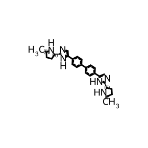 C[C@@H]1CC[C@H](c2ncc(-c3ccc(-c4ccc(-c5cnc([C@H]6CC[C@@H](C)N6)[nH]5)cc4)cc3)[nH]2)N1